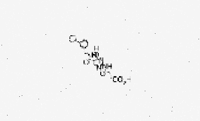 O=C(O)CCC(=O)Nc1ncc(C(=O)NCc2cccc(C3CCCC3)c2)c(O)n1